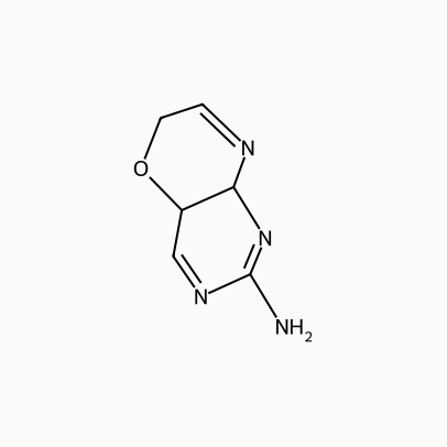 NC1=NC2N=CCOC2C=N1